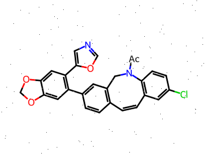 CC(=O)N1Cc2cc(-c3cc4c(cc3-c3cnco3)OCO4)ccc2C=Cc2cc(Cl)ccc21